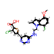 COc1ccc(F)c2c1cc(C)n2CCNc1cc(-c2cc(Cl)c(C(=O)O)s2)ncn1